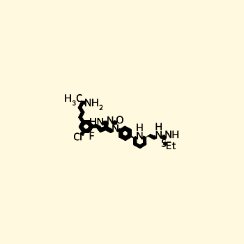 CCSC(=N)NCC[C@@H]1CCC[C@@H](c2ccc(-n3cc4cc(-c5cc(CCC[C@H](C)N)cc(Cl)c5F)[nH]c4nc3=O)cc2)N1